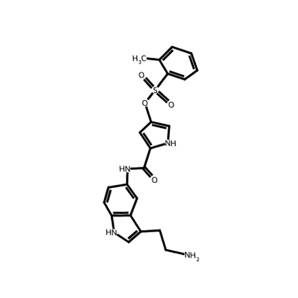 Cc1ccccc1S(=O)(=O)Oc1c[nH]c(C(=O)Nc2ccc3[nH]cc(CCN)c3c2)c1